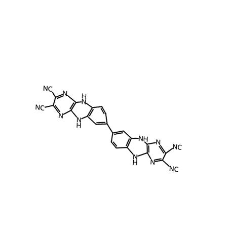 [C-]#[N+]c1nc2c(nc1[N+]#[C-])Nc1cc(-c3ccc4c(c3)Nc3nc(C#N)c(C#N)nc3N4)ccc1N2